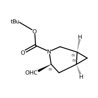 CC(C)(C)OC(=O)N1C[C@H]2C[C@H]2C[C@H]1C=O